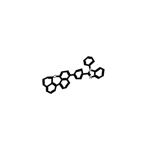 c1ccc(-n2c(-c3ccc(-c4ccc5oc6cccc7cccc(c8cccc4c58)c76)cc3)nc3ccccc32)cc1